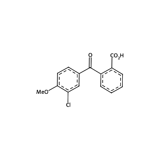 COc1ccc(C(=O)c2ccccc2C(=O)O)cc1Cl